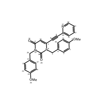 COc1ccc(Cn2c(C#Cc3ccccn3)cc(=O)n(Cc3ccc(OC)cc3)c2=O)cc1